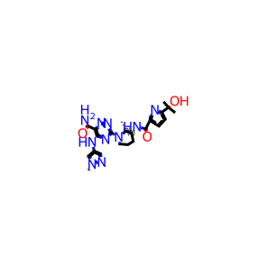 C[C@@H]1[C@H](NC(=O)c2ccc(C(C)(C)O)nc2)CCCN1c1nnc(C(N)=O)c(Nc2cnn(C)c2)n1